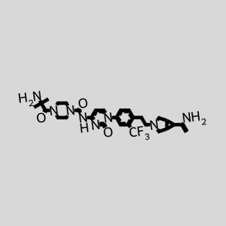 C=C(N)C1C2CN(CCc3ccc(-n4ccc(NC(=O)N5CCN(C(=O)C(C)(C)N)CC5)nc4=O)cc3C(F)(F)F)CC21